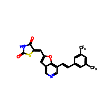 O=C1NC(=O)/C(=C/c2cc3cncc(/C=C/c4cc(C(F)(F)F)cc(C(F)(F)F)c4)c3o2)S1